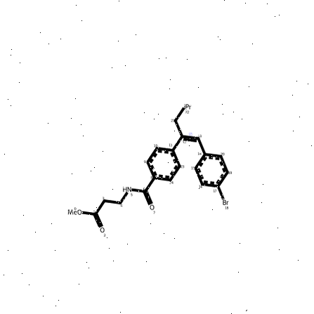 COC(=O)CCNC(=O)c1ccc(/C(=C\c2ccc(Br)cc2)CC(C)C)cc1